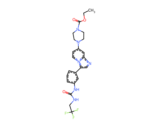 CCOC(=O)N1CCN(c2ccn3c(-c4cccc(NC(=O)NCC(F)(F)F)c4)cnc3c2)CC1